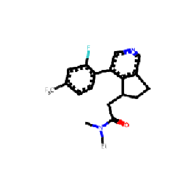 CCN(C)C(=O)CC1CCc2cncc(-c3ccc(C(F)(F)F)cc3F)c21